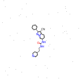 N#Cc1c(-c2ccccc2)nn2cc(NC(=O)NCCc3ccncc3)ccc12